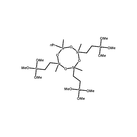 CCC[Si]1(C)O[Si](C)(CC[Si](OC)(OC)OC)O[Si](C)(CC[Si](OC)(OC)OC)O[Si](C)(CC[Si](OC)(OC)OC)O1